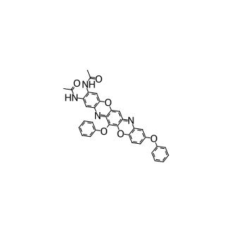 CC(=O)Nc1cc2c(cc1NC(C)=O)Oc1cc3c(c(Oc4ccccc4)c1=N2)Oc1ccc(Oc2ccccc2)cc1N=3